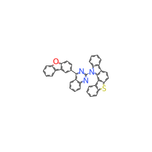 c1ccc2c(-c3ccc4oc5ccccc5c4c3)nc(-n3c4ccccc4c4ccc5sc6ccccc6c5c43)nc2c1